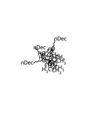 CCCCCCCCCCCCCCCCO[C@H](COC(=O)CCCCCCCCCCCCCCC)COP(C)(=O)O[C@@H]1C(O[C@H]2OC(CC(=O)OCCCCCCCCCCCCCCC)[C@@H](C)[C@H](C)C2C)C(C)[C@@H](C)[C@H](C)C1O[C@H]1OC(CC)[C@@H](C)C(C)[C@H]1C